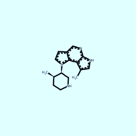 Cc1c[nH]c2ncc3ccn([C@H]4CNCC[C@H]4C)c3c12